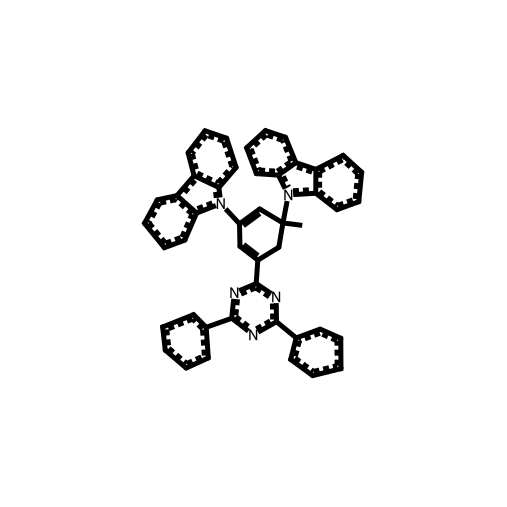 CC1(n2c3ccccc3c3ccccc32)C=C(n2c3ccccc3c3ccccc32)C=C(c2nc(-c3ccccc3)nc(-c3ccccc3)n2)C1